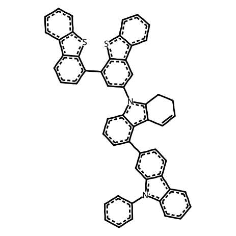 C1=Cc2c(n(-c3cc(-c4cccc5c4sc4ccccc45)c4sc5ccccc5c4c3)c3cccc(-c4ccc5c6ccccc6n(-c6ccccc6)c5c4)c23)CC1